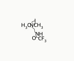 C[N+](C)(CI)CCCNC(=O)C(F)(F)F